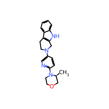 C[C@H]1COCCN1c1ccc(N2CCc3c([nH]c4ccccc34)C2)cn1